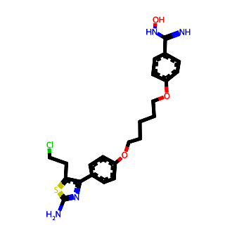 N=C(NO)c1ccc(OCCCCCOc2ccc(-c3nc(N)sc3CCCl)cc2)cc1